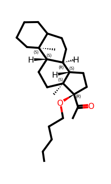 CCCCCO[C@]1(C(C)=O)CC[C@H]2[C@@H]3CCC4CCCC[C@]4(C)[C@H]3CC[C@@]21C